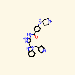 CN1CCC(Nc2ccc(C(=O)Nc3cc(-c4nc5ccccc5n4Cc4ccncc4)n[nH]3)cc2)CC1